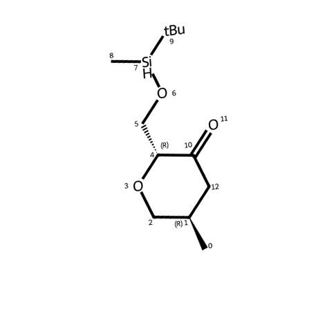 C[C@H]1CO[C@H](CO[SiH](C)C(C)(C)C)C(=O)C1